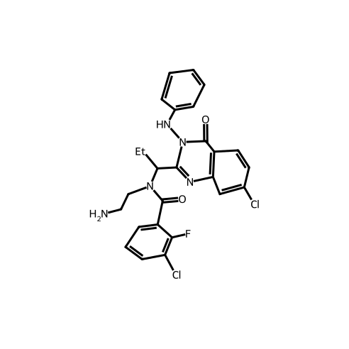 CCC(c1nc2cc(Cl)ccc2c(=O)n1Nc1ccccc1)N(CCN)C(=O)c1cccc(Cl)c1F